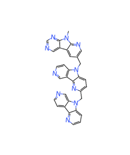 Cn1c2ncncc2c2cc(Cn3c4ccncc4c4nc(Cn5c6cnccc6c6ncccc65)ccc43)cnc21